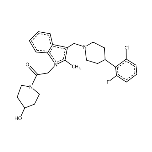 Cc1c(CN2CCC(c3c(F)cccc3Cl)CC2)c2ccccc2n1CC(=O)N1CCC(O)CC1